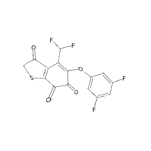 O=C1CSC2=C1C(C(F)F)=C(Oc1cc(F)cc(F)c1)C(=O)C2=O